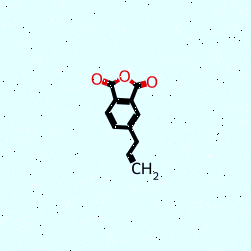 C=CCc1ccc2c(c1)C(=O)OC2=O